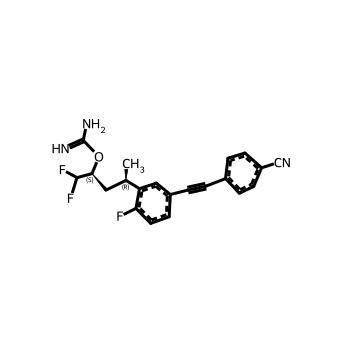 C[C@H](C[C@H](OC(=N)N)C(F)F)c1cc(C#Cc2ccc(C#N)cc2)ccc1F